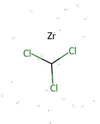 ClC(Cl)Cl.[Zr]